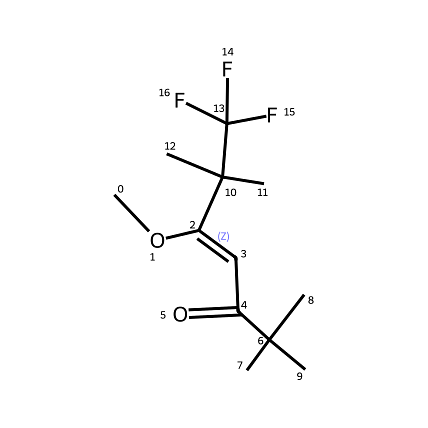 CO/C(=C\C(=O)C(C)(C)C)C(C)(C)C(F)(F)F